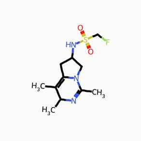 CC1=NC(C)C(C)=C2CC(NS(=O)(=O)CF)CN12